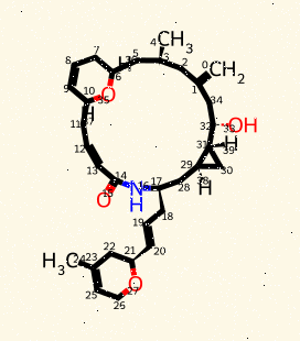 C=C1C[C@H](C)C[C@@H]2CC=C[C@@H](C/C=C\C(=O)N[C@H](C/C=C/[C@@H]3CC(C)=CCO3)C[C@@H]3C[C@H]3[C@@H](O)C1)O2